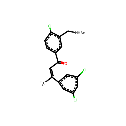 CC(=O)NCc1cc(C(=O)/C=C(\c2cc(Cl)cc(Cl)c2)C(F)(F)F)ccc1Cl